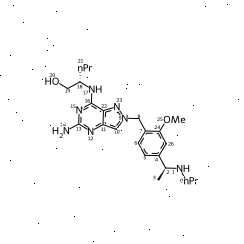 CCCN[C@@H](C)c1ccc(Cn2cc3nc(N)nc(N[C@H](CO)CCC)c3n2)c(OC)c1